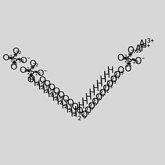 O.O.O.O.O.O.O.O.O.O.O.O.O.O.O.O.O.O.O.O.O=S(=O)([O-])[O-].O=S(=O)([O-])[O-].O=S(=O)([O-])[O-].[Al+3].[Al+3]